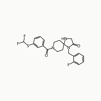 O=C(c1cccc(SC(F)F)c1)N1CCC2(CC1)NCC(=O)N2Cc1ccccc1F